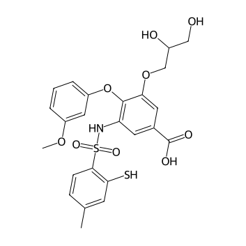 COc1cccc(Oc2c(NS(=O)(=O)c3ccc(C)cc3S)cc(C(=O)O)cc2OCC(O)CO)c1